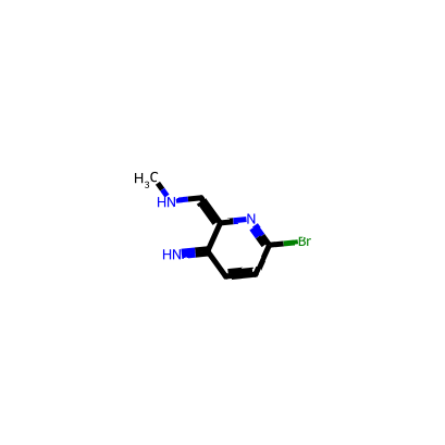 CN/C=C1/N=C(Br)C=CC1=N